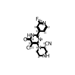 N#C[C@@H]1CNCCN1c1nc(-c2ccnc(F)c2)[nH]c(=O)c1Cl